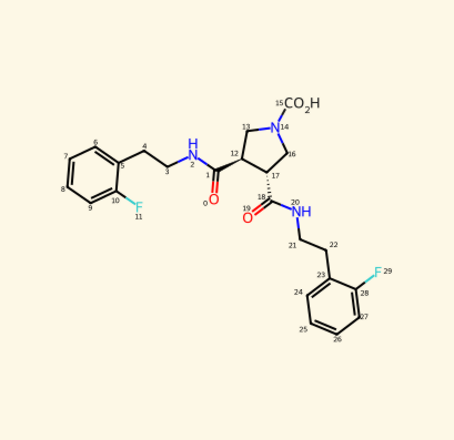 O=C(NCCc1ccccc1F)[C@H]1CN(C(=O)O)C[C@@H]1C(=O)NCCc1ccccc1F